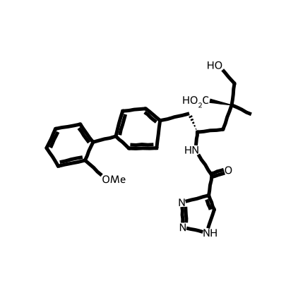 COc1ccccc1-c1ccc(C[C@H](C[C@@](C)(CO)C(=O)O)NC(=O)c2c[nH]nn2)cc1